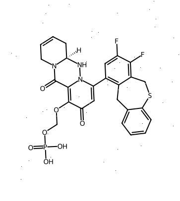 O=C1c2c(OCOP(=O)(O)O)c(=O)cc(-c3cc(F)c(F)c4c3Cc3ccccc3SC4)n2N[C@@H]2CC=CCN12